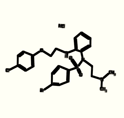 CN(C)CCN(c1ccccc1NCCOc1ccc(Cl)cc1)S(=O)(=O)c1ccc(Br)cc1.Cl